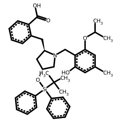 Cc1cc(O)c(CN2C[C@H](O[Si](c3ccccc3)(c3ccccc3)C(C)(C)C)C[C@H]2Cc2ccccc2C(=O)O)c(OC(C)C)c1